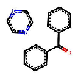 O=C(c1ccccc1)c1ccccc1.c1cnccn1